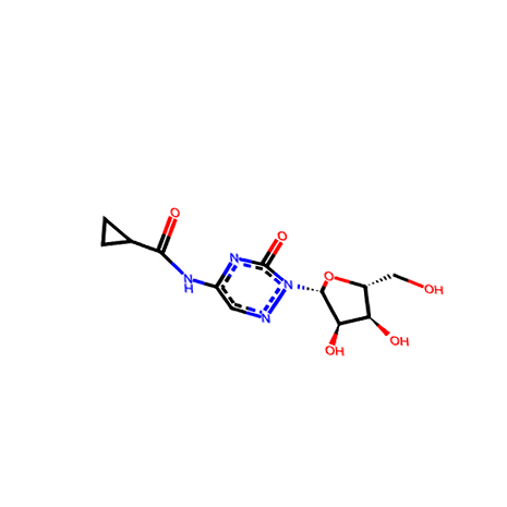 O=C(Nc1cnn([C@@H]2O[C@H](CO)[C@@H](O)[C@H]2O)c(=O)n1)C1CC1